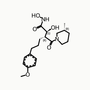 COc1ccc(CCC[C@@H](C(=O)N2CCC[C@@H](C)C2)[C@H](O)C(=O)NO)cc1